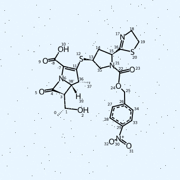 C[C@@H](O)[C@H]1C(=O)N2C(C(=O)O)=C(S[C@H]3C[C@@H](C4=NCCS4)N(C(=O)OCc4ccc([N+](=O)[O-])cc4)C3)[C@H](C)[C@H]12